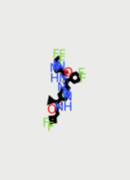 O=C(CC1CC(F)(F)C1)N[C@@H](c1cnn2cc([C@@H](NC(=O)c3cnn(CC(F)(F)F)n3)C3CCC(F)(F)CC3)nc2c1)C1CC1